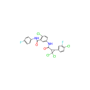 O=C(Nc1ccc(F)cc1)c1cc(NC(=O)C2C(c3ccc(Cl)c(F)c3)C2(Cl)Cl)ccc1Cl